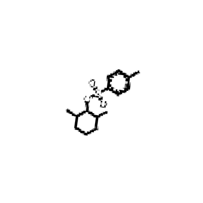 Cc1ccc(S(=O)(=O)OC2C(C)CCCC2C)cc1